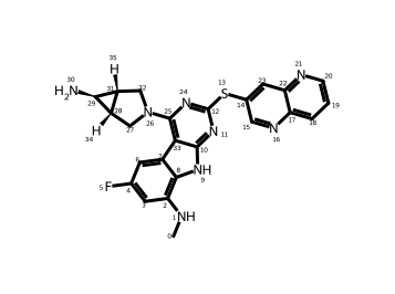 CNc1cc(F)cc2c1[nH]c1nc(Sc3cnc4cccnc4c3)nc(N3C[C@@H]4[C@@H](N)[C@@H]4C3)c12